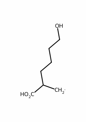 [CH2]C(CCCCO)C(=O)O